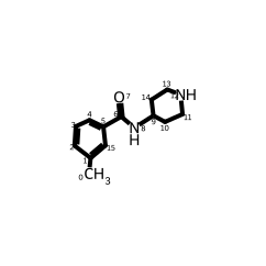 Cc1cccc(C(=O)NC2CCNCC2)c1